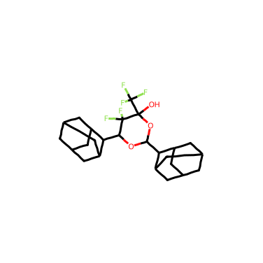 OC1(C(F)(F)F)OC(C2C3CC4CC(C3)CC2C4)OC(C2C3CC4CC(C3)CC2C4)C1(F)F